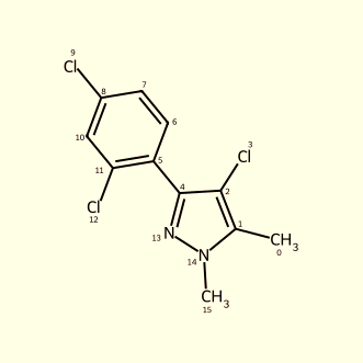 Cc1c(Cl)c(-c2ccc(Cl)cc2Cl)nn1C